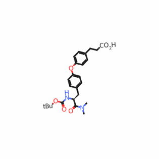 CN(C)C(=O)[C@H](Cc1ccc(Oc2ccc(CCC(=O)O)cc2)cc1)NC(=O)OC(C)(C)C